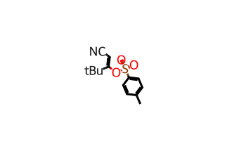 Cc1ccc(S(=O)(=O)OC(=CC#N)C(C)(C)C)cc1